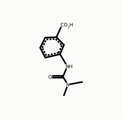 CN(C)C(=O)Nc1cccc(C(=O)O)c1